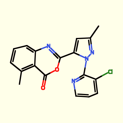 Cc1cc(-c2nc3cccc(C)c3c(=O)o2)n(-c2ncccc2Cl)n1